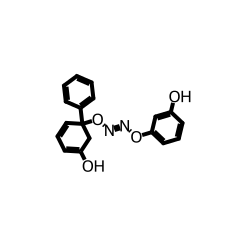 OC1=CC=CC(ON=NOc2cccc(O)c2)(c2ccccc2)C1